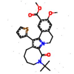 COC(=O)c1cc2c(cc1OC)CCn1c3c(c(-c4cccs4)c1-2)CCCCN(C(C)(C)C)C3=O